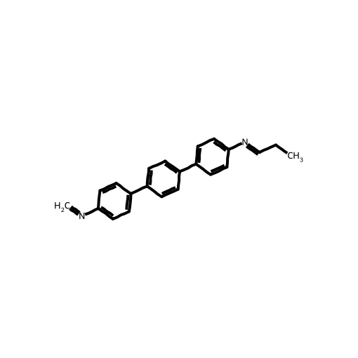 C=Nc1ccc(-c2ccc(-c3ccc(/N=C/CC)cc3)cc2)cc1